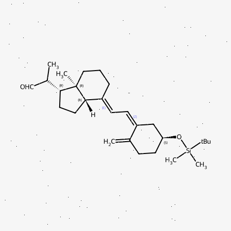 C=C1CC[C@H](O[Si](C)(C)C(C)(C)C)C/C1=C/C=C1\CCC[C@]2(C)[C@@H](C(C)C=O)CC[C@@H]12